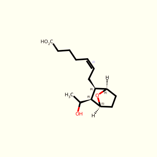 CC(O)[C@H]1[C@@H](C/C=C\CCCC(=O)O)[C@H]2CC[C@@H]1O2